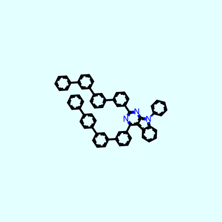 c1ccc(-c2ccc(-c3cccc(-c4cccc(-c5nc(-c6cccc(-c7cccc(-c8cccc(-c9ccccc9)c8)c7)c6)nc6c5c5ccccc5n6-c5ccccc5)c4)c3)cc2)cc1